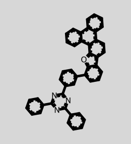 c1ccc(-c2nc(-c3ccccc3)nc(-c3cccc(-c4cccc5c4oc4c5ccc5c6ccccc6c6ccccc6c54)c3)n2)cc1